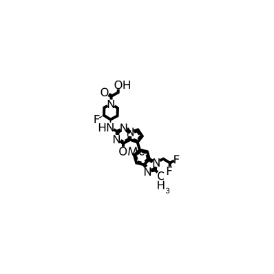 COc1nc(N[C@H]2CCN(C(=O)CO)C[C@H]2F)nn2ccc(-c3ccc4nc(C)n(CC(F)F)c4c3)c12